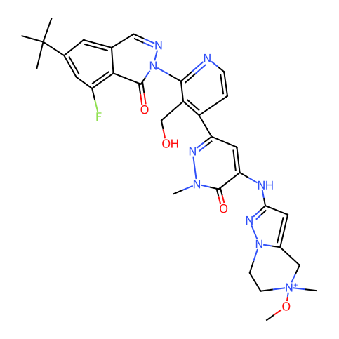 CO[N+]1(C)CCn2nc(Nc3cc(-c4ccnc(-n5ncc6cc(C(C)(C)C)cc(F)c6c5=O)c4CO)nn(C)c3=O)cc2C1